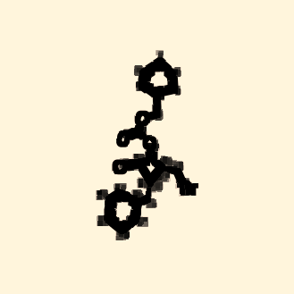 O=C(OCc1ccccc1)ON1C(=O)[C@@H](Cc2ccccc2)[C@@H]1CBr